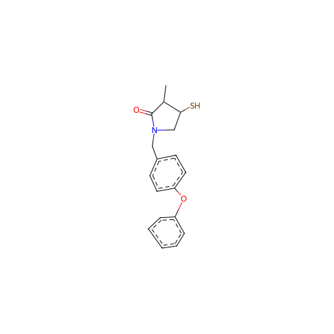 CC1C(=O)N(Cc2ccc(Oc3ccccc3)cc2)CC1S